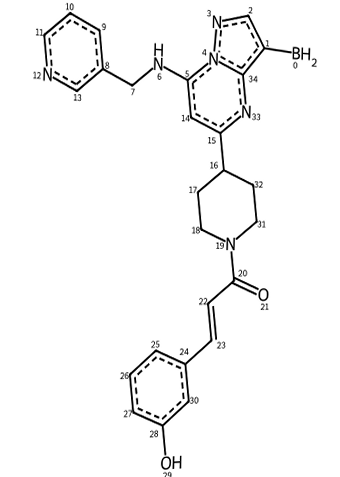 Bc1cnn2c(NCc3cccnc3)cc(C3CCN(C(=O)/C=C/c4cccc(O)c4)CC3)nc12